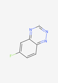 Fc1ccc2nn[c]nc2c1